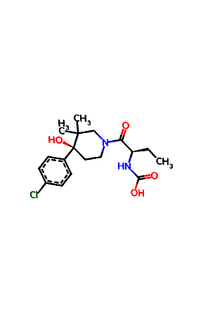 CC[C@@H](NC(=O)O)C(=O)N1CC[C@](O)(c2ccc(Cl)cc2)C(C)(C)C1